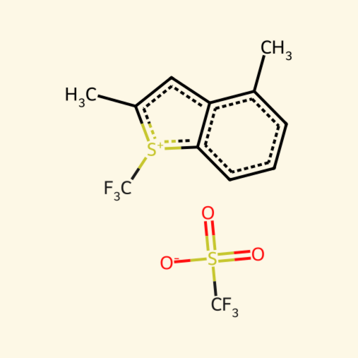 Cc1cccc2c1cc(C)[s+]2C(F)(F)F.O=S(=O)([O-])C(F)(F)F